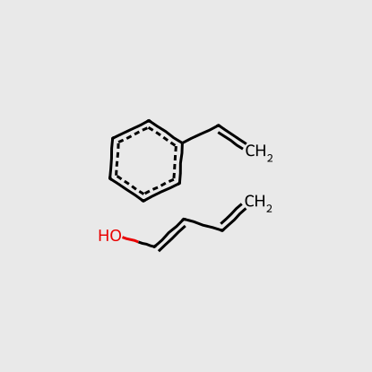 C=CC=CO.C=Cc1ccccc1